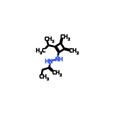 C=C(CC)NNC1=C(C(C)C)C(=C)C1=C